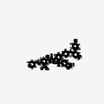 CC1(C)CCC(CN2CCN(c3ccc(C(=O)NS(=O)(=O)c4ccc(NCC5CCOCC5)c([N+](=O)[O-])c4)c(P(C)(=O)c4cnc5[nH]ccc5c4)c3)CC2)=C(c2ccc(Cl)cc2)C1